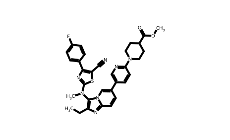 CCc1nc2ccc(-c3ccc(N4CCC(C(=O)OC)CC4)nc3)cn2c1N(C)c1nc(-c2ccc(F)cc2)c(C#N)s1